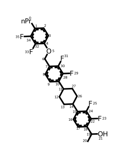 CCCc1ccc(OCc2ccc(C3CCC(c4ccc(C(C)O)c(F)c4F)CC3)c(F)c2F)c(F)c1F